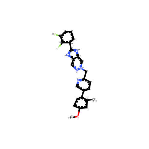 CCCOc1ccc(-c2ccc(Cn3cc4nc(-c5cccc(F)c5F)nc-4cn3)nc2)c(C(F)(F)F)c1